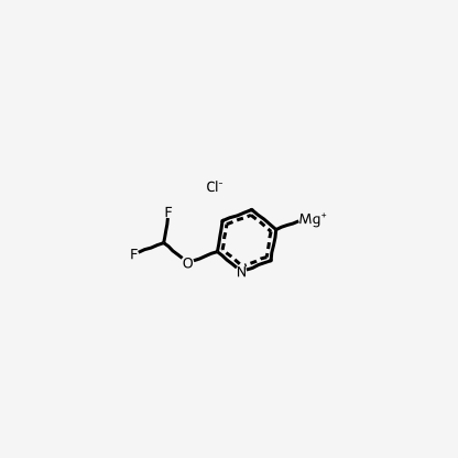 FC(F)Oc1cc[c]([Mg+])cn1.[Cl-]